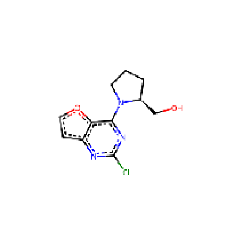 OC[C@@H]1CCCN1c1nc(Cl)nc2ccoc12